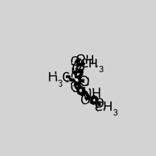 CCCCc1oc2ccc(NC(=O)c3ccc(OC)cc3)cc2c1C(=O)c1cc(I)c(OC(CC)C(=O)O)c(I)c1